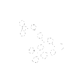 C1=CC2c3ccccc3N(c3cccc(N(c4ccc(-c5cccc(-n6c7ccccc7c7ccccc76)c5)cc4)c4ccc(C5(c6ccccc6)c6ccccc6-c6ccccc65)cc4)c3)C2C=C1